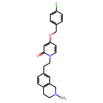 CN1CCc2ccc(CCn3ccc(OCc4ccc(F)cc4)cc3=O)cc2C1